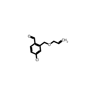 C=CCOCc1cc(Cl)ccc1C=O